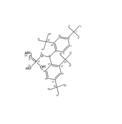 CC(C)(C)c1ccc(C(OP(=O)(O)O)c2ccc(C(C)(C)C)cc2C(C)(C)C)c(C(C)(C)C)c1.[AlH3]